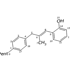 CCCCCc1ccc(C/C(C)=C/c2ccccc2O)cc1